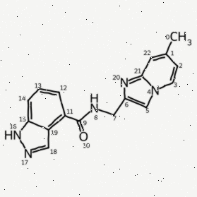 Cc1ccn2cc(CNC(=O)c3cccc4[nH]ncc34)nc2c1